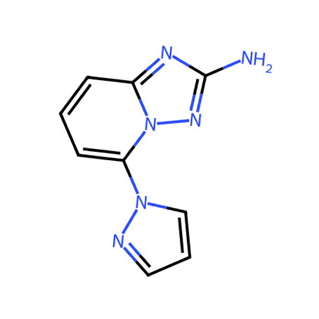 Nc1nc2cccc(-n3cccn3)n2n1